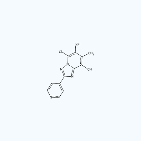 CCCCc1c(C)c(C#N)c2nc(-c3ccncc3)nn2c1Cl